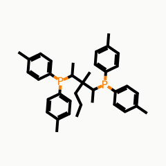 CCCC(C)(C(C)P(c1ccc(C)cc1)c1ccc(C)cc1)C(C)P(c1ccc(C)cc1)c1ccc(C)cc1